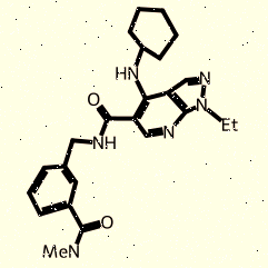 CCn1ncc2c(NC3CCCCC3)c(C(=O)NCc3cccc(C(=O)NC)c3)cnc21